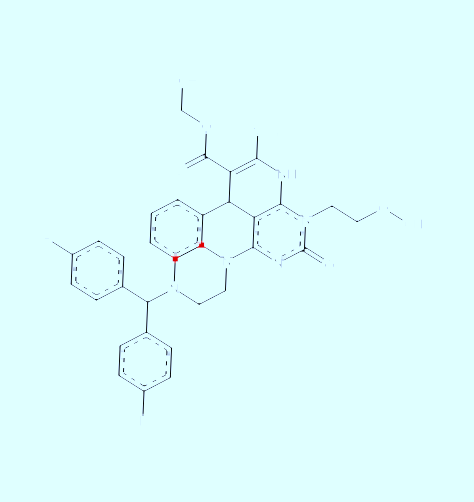 CCOC(=O)C1=C(C)Nc2c(c(N3CCN(C(c4ccc(F)cc4)c4ccc(F)cc4)CC3)nc(=O)n2CCOC)C1c1ccccc1